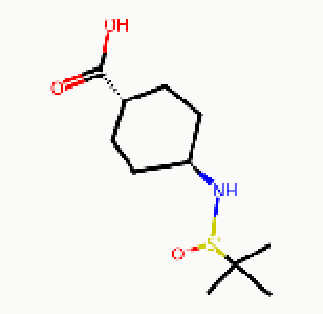 CC(C)(C)[S+]([O-])N[C@H]1CC[C@H](C(=O)O)CC1